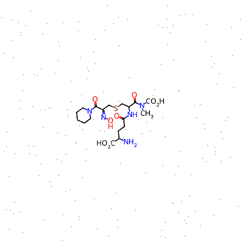 CN(C(=O)O)C(=O)C(CSCC(=NO)C(=O)N1CCCCC1)NC(=O)CCC(N)C(=O)O